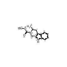 CC(Cc1c[nH]c2ccccc12)N(N)C(=O)OC(C)(C)C